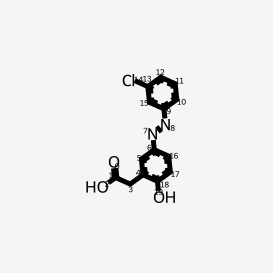 O=C(O)Cc1cc(N=Nc2cccc(Cl)c2)ccc1O